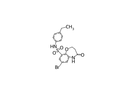 CCc1ccc(NS(=O)(=O)c2cc(Br)cc3c2OCCC(=O)N3)cc1